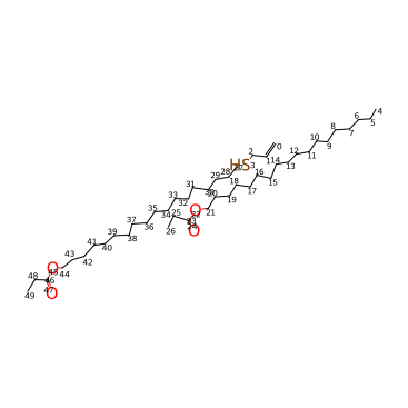 C=CCS.CCCCCCCCCCCCCCCCCCOC(=O)CC.CCCCCCCCCCCCCCCCCCOC(=O)CC